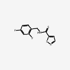 Fc1ccc(CNC(=S)c2ccns2)c(F)c1